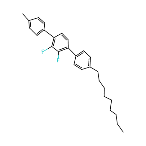 CCCCCCCCCc1ccc(-c2ccc(-c3ccc(C)cc3)c(F)c2F)cc1